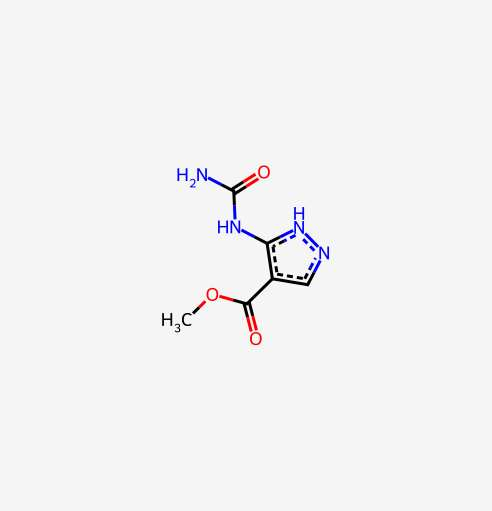 COC(=O)c1cn[nH]c1NC(N)=O